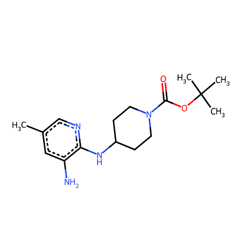 Cc1cnc(NC2CCN(C(=O)OC(C)(C)C)CC2)c(N)c1